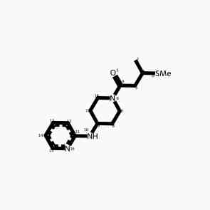 CSC(C)CC(=O)N1CCC(Nc2ccccn2)CC1